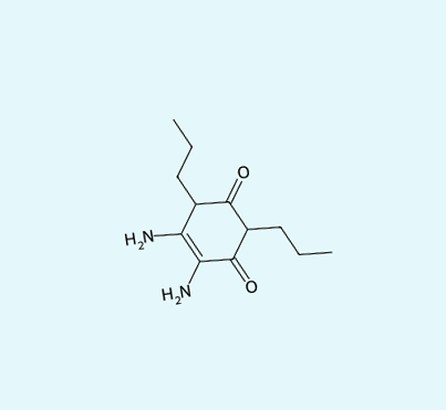 CCCC1C(=O)C(N)=C(N)C(CCC)C1=O